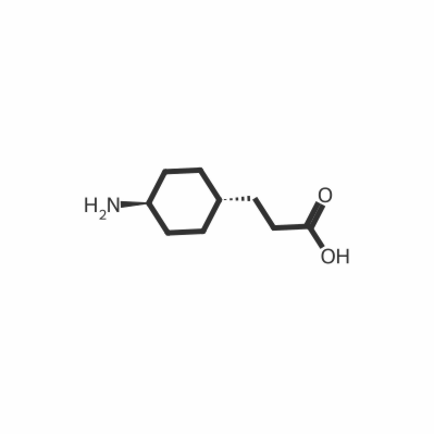 N[C@H]1CC[C@H](CCC(=O)O)CC1